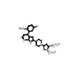 COc1ccc(F)cc1-c1ccnc2[nH]c(C3=CCN(C4C[C@@H](C(=O)O)N(C(=O)O)C4)CC3)cc12